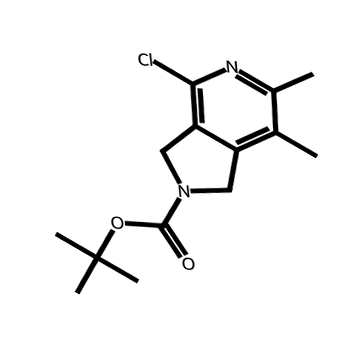 Cc1nc(Cl)c2c(c1C)CN(C(=O)OC(C)(C)C)C2